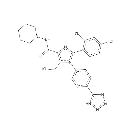 O=C(NN1CCCCC1)c1nc(-c2ccc(Cl)cc2Cl)n(-c2ccc(-c3nnn[nH]3)cc2)c1CO